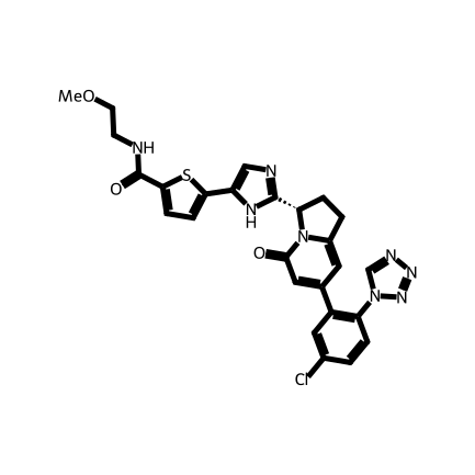 COCCNC(=O)c1ccc(-c2cnc([C@@H]3CCc4cc(-c5cc(Cl)ccc5-n5cnnn5)cc(=O)n43)[nH]2)s1